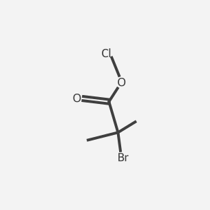 CC(C)(Br)C(=O)OCl